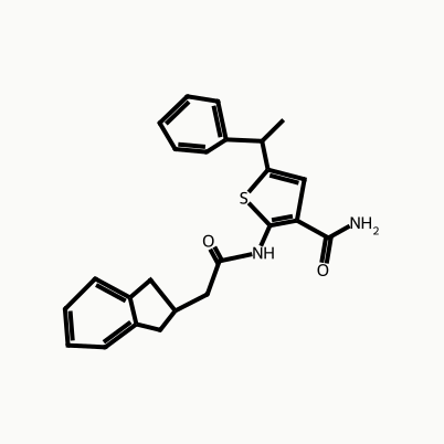 CC(c1ccccc1)c1cc(C(N)=O)c(NC(=O)CC2Cc3ccccc3C2)s1